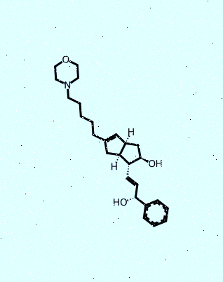 O[C@H](/C=C/[C@@H]1[C@H]2CC(CCCCCN3CCOCC3)=C[C@H]2C[C@H]1O)c1ccccc1